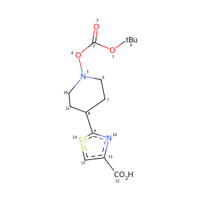 CC(C)(C)OC(=O)ON1CCC(c2nc(C(=O)O)cs2)CC1